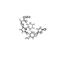 C=C(C)C(=O)OC.C=Cc1ccccc1.O=C1C=CC(=O)N1C1CCCCC1.O=C1C=CC(=O)O1